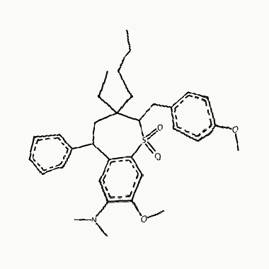 CCCCC1(CC)CC(c2ccccc2)c2cc(N(C)C)c(OC)cc2S(=O)(=O)C1Cc1ccc(OC)cc1